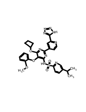 COc1ccccc1Oc1c(NS(=O)(=O)c2ccc(C(C)C)cn2)nc(-c2ccnc(-c3nnn[nH]3)c2)nc1OC1CCC1